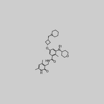 CCN(c1cc(O[C@H]2C[C@H](CN3CCCCC3)C2)cc(C(=O)NCc2c(C)cc(C)[nH]c2=O)c1C)C1CCOCC1